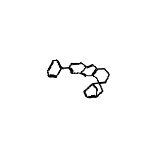 C1=C2CC(C1)C1(CCCc3cc4ccc(-c5ccccc5)cc4cc31)C2